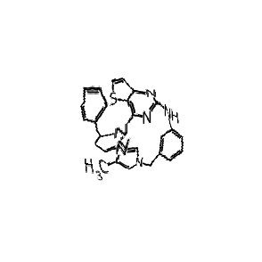 Cc1cn(Cc2cccc(Nc3nc(N4N=CCC4c4ccccc4)c4sccc4n3)c2)cn1